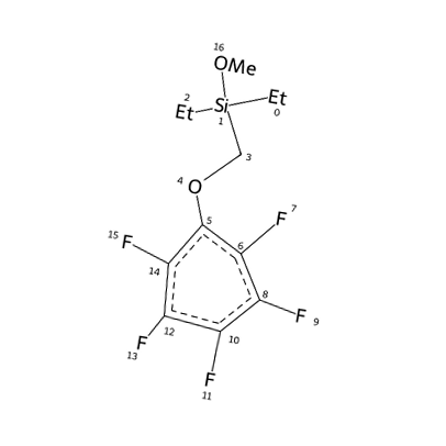 CC[Si](CC)(COc1c(F)c(F)c(F)c(F)c1F)OC